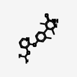 Cc1cc(Oc2ncccc2OC(F)F)ccc1-c1c(C)n[nH]c(=O)c1C